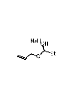 [CH2]CC(O)OCC=C.[NaH]